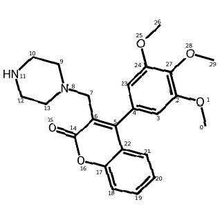 COc1cc(-c2c(CN3CCNCC3)c(=O)oc3ccccc23)cc(OC)c1OC